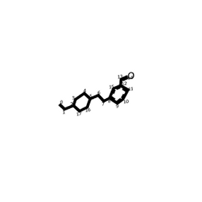 CCC1CCC(CCc2cccc(C=O)c2)CC1